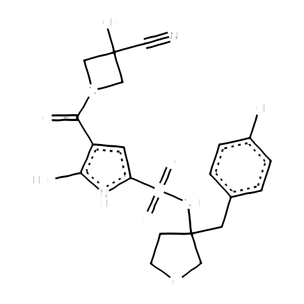 Cc1[nH]c(S(=O)(=O)NC2(Cc3ccc(Cl)cc3)CCOC2)cc1C(=O)N1CC(C)(C#N)C1